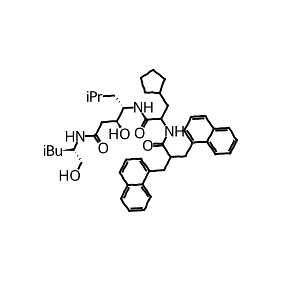 CC[C@H](C)[C@@H](CO)NC(=O)C[C@H](O)[C@H](CC(C)C)NC(=O)C(CC1CCCC1)NC(=O)C(Cc1cccc2ccccc12)Cc1cccc2ccccc12